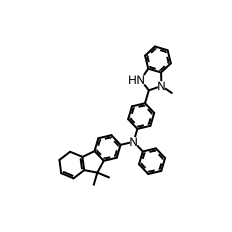 CN1c2ccccc2NC1c1ccc(N(c2ccccc2)c2ccc3c(c2)C(C)(C)C2=C3CCC=C2)cc1